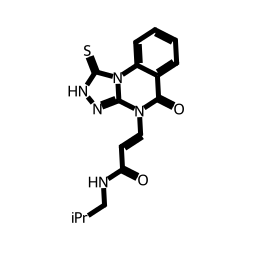 CC(C)CNC(=O)C=Cn1c(=O)c2ccccc2n2c(=S)[nH]nc12